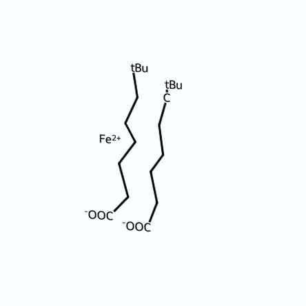 CC(C)(C)CCCCCC(=O)[O-].CC(C)(C)CCCCCC(=O)[O-].[Fe+2]